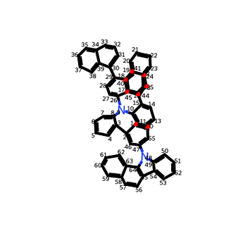 c1cc(-c2ccccc2N(c2ccccc2-c2ccc3ccccc3c2)c2ccc(-c3cccc4ccccc34)c3ccccc23)cc(-n2c3ccccc3c3ccc4ccccc4c32)c1